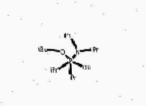 CC(C)N(C(C)C)P(O)(OC(C)(C)C)(C(C)C)C(C)C